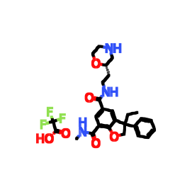 CCC1(c2ccccc2)COc2c(C(=O)NC)cc(C(=O)NCC[C@H]3CNCCO3)cc21.O=C(O)C(F)(F)F